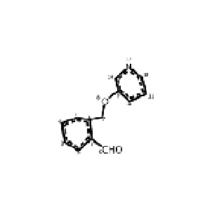 O=Cc1ccccc1COc1cccnc1